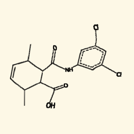 CC1C=CC(C)C(C(=O)Nc2cc(Cl)cc(Cl)c2)C1C(=O)O